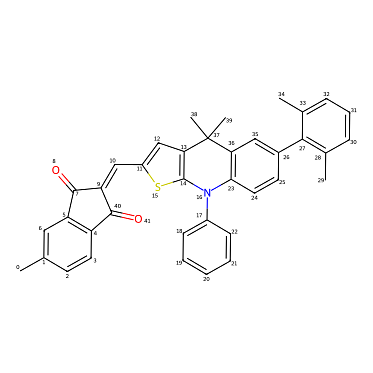 Cc1ccc2c(c1)C(=O)/C(=C/c1cc3c(s1)N(c1ccccc1)c1ccc(-c4c(C)cccc4C)cc1C3(C)C)C2=O